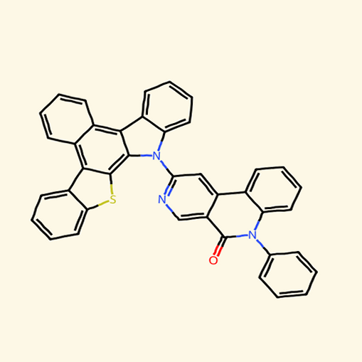 O=c1c2cnc(-n3c4ccccc4c4c5ccccc5c5c6ccccc6sc5c43)cc2c2ccccc2n1-c1ccccc1